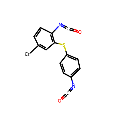 CCc1ccc(N=C=O)c(Sc2ccc(N=C=O)cc2)c1